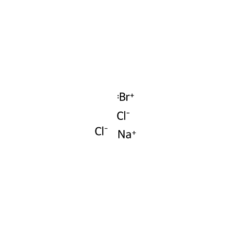 [Br+].[Cl-].[Cl-].[Na+]